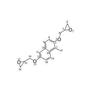 Cc1c(OCC2CO2)ccc2cc(OCC3CO3)ccc12